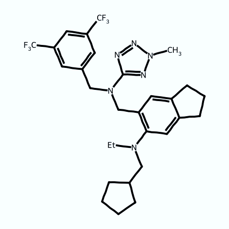 CCN(CC1CCCC1)c1cc2c(cc1CN(Cc1cc(C(F)(F)F)cc(C(F)(F)F)c1)c1nnn(C)n1)CCC2